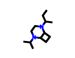 CCC(C)N1CCN(C(C)C)C2CCC21